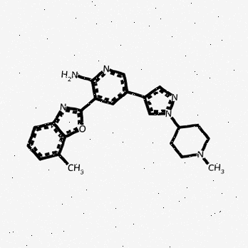 Cc1cccc2nc(-c3cc(-c4cnn(C5CCN(C)CC5)c4)cnc3N)oc12